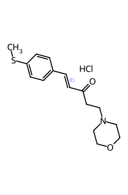 CSc1ccc(/C=C/C(=O)CCN2CCOCC2)cc1.Cl